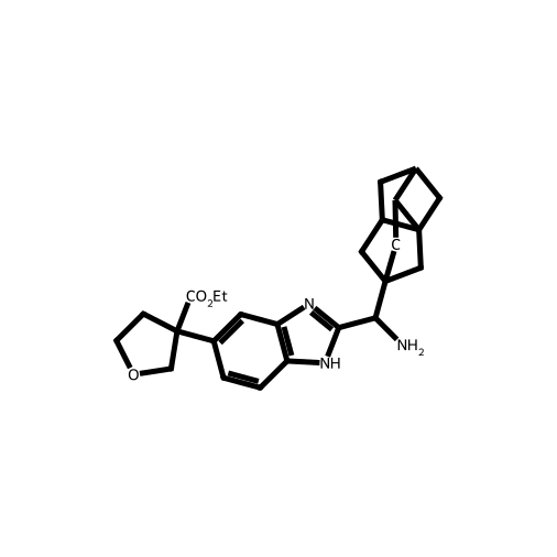 CCOC(=O)C1(c2ccc3[nH]c(C(N)C45CC6CC7CC6(C4)C7C5)nc3c2)CCOC1